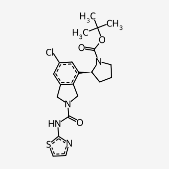 CC(C)(C)OC(=O)N1CCC[C@H]1c1cc(Cl)cc2c1CN(C(=O)Nc1nccs1)C2